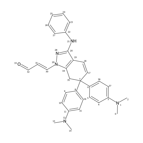 CN(C)c1ccc(C2(c3ccc(N(C)C)cc3)C=Cc3c(Nc4ccccc4)nn(C=CC=O)c3C2)cc1